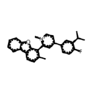 Cc1ccc2c(oc3ccccc32)c1-c1cc(-c2ccc(F)c(C(C)C)c2)cc[n+]1C